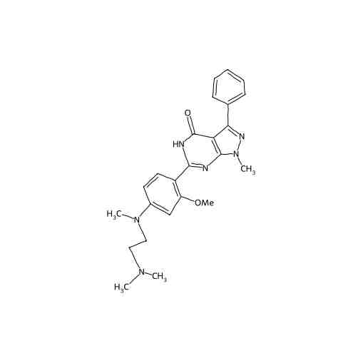 COc1cc(N(C)CCN(C)C)ccc1-c1nc2c(c(-c3ccccc3)nn2C)c(=O)[nH]1